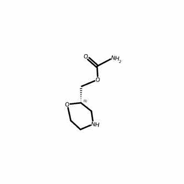 NC(=O)OC[C@@H]1CNCCO1